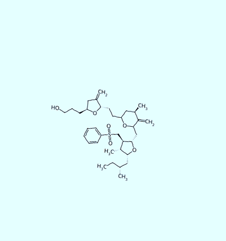 C=C1C(C[C@@H]2O[C@H](C[C@H](C)CC)[C@H](C)[C@H]2CS(=O)(=O)c2ccccc2)OC(CC[C@@H]2O[C@@H](CCCO)CC2=C)C[C@H]1C